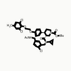 CC(=O)NCc1ccc(Cl)c(CN(C(=O)[C@H]2CN(C(=O)OC(C)(C)C)CC[C@@H]2c2ccc(OCCOc3c(Cl)cc(C)cc3Cl)cc2)C2CC2)c1